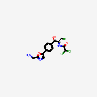 NCc1ncc(-c2ccc([C@@H](O)[C@@H](CF)NC(=O)C(Cl)Cl)cc2)o1